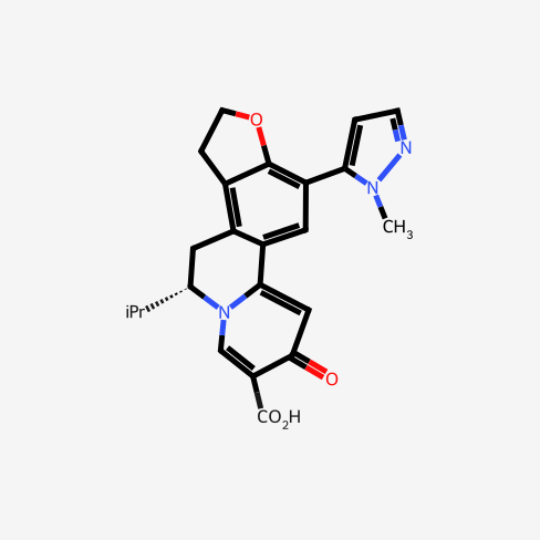 CC(C)[C@@H]1Cc2c(cc(-c3ccnn3C)c3c2CCO3)-c2cc(=O)c(C(=O)O)cn21